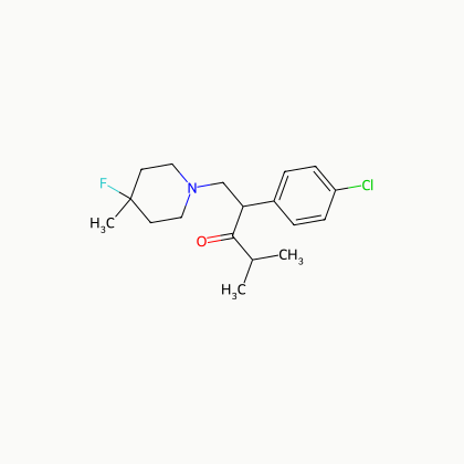 CC(C)C(=O)C(CN1CCC(C)(F)CC1)c1ccc(Cl)cc1